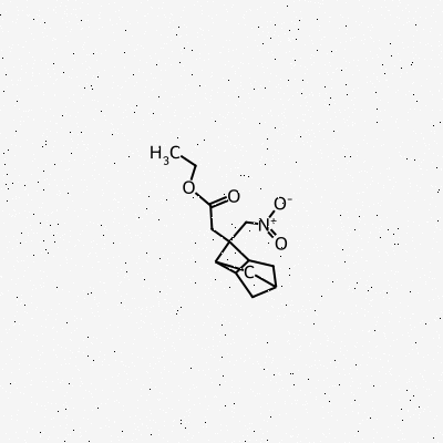 CCOC(=O)CC1(C[N+](=O)[O-])C2CC3CC2C1C3